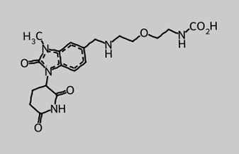 Cn1c(=O)n(C2CCC(=O)NC2=O)c2ccc(CNCCOCCNC(=O)O)cc21